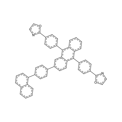 c1ccc2c(-c3ccc(-c4ccc5c(-c6ccc(-c7ncco7)cc6)c6ccccc6c(-c6ccc(-c7ncco7)cc6)c5c4)cc3)cccc2c1